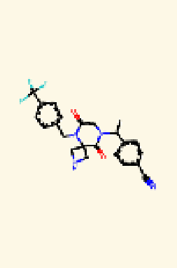 CC(c1ccc(C#N)cc1)N1CC(=O)N(Cc2ccc(C(F)(F)F)cc2)C2(CNC2)C1=O